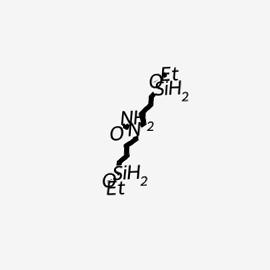 CCO[SiH2]CCCCN(CCCC[SiH2]OCC)C(N)=O